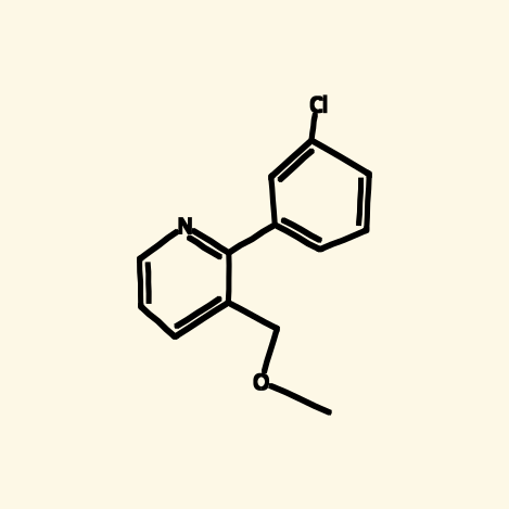 COCc1cccnc1-c1cccc(Cl)c1